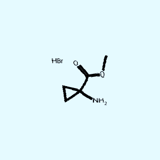 Br.COC(=O)C1(N)CC1